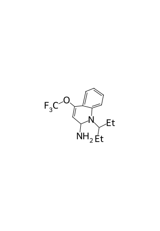 CCC(CC)N1c2ccccc2C(OC(F)(F)F)=CC1N